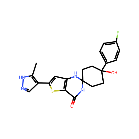 Cc1[nH]ncc1-c1cc2c(s1)C(=O)NC1(CCC(O)(c3ccc(F)cc3)CC1)N2